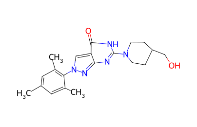 Cc1cc(C)c(-n2cc3c(=O)[nH]c(N4CCC(CO)CC4)nc3n2)c(C)c1